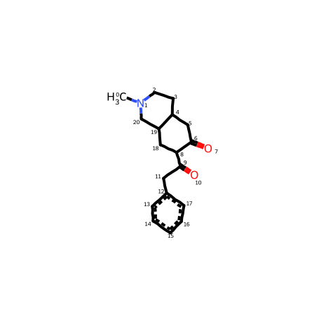 CN1CCC2CC(=O)C(C(=O)Cc3ccccc3)CC2C1